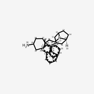 Cc1nc2ccccc2n1C1CC2CC[C@@H](C1)N2CCC1(c2ccccc2)CCC(N)CC1